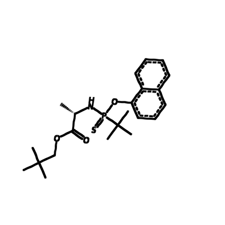 C[C@H](NP(=S)(Oc1cccc2ccccc12)C(C)(C)C)C(=O)OCC(C)(C)C